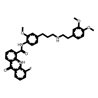 COc1cc(CCCNCCc2ccc(OC)c(OC)c2)ccc1NC(=O)c1cccc2c(=O)c3cccc(F)c3[nH]c12